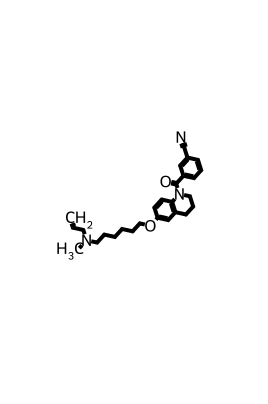 C=CCN(C)CCCCCCOc1ccc2c(c1)CCCN2C(=O)c1cccc(C#N)c1